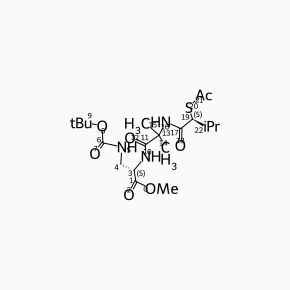 COC(=O)[C@H](CNC(=O)OC(C)(C)C)NC(=O)C(C)(C)NC(=O)[C@@H](SC(C)=O)C(C)C